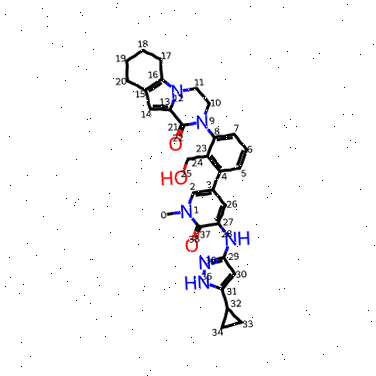 Cn1cc(-c2cccc(N3CCn4c(cc5c4CCCC5)C3=O)c2CO)cc(Nc2cc(C3CC3)[nH]n2)c1=O